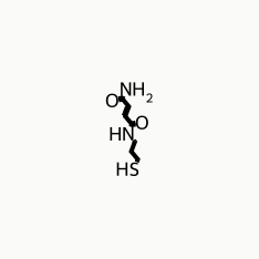 NC(=O)/C=C/C(=O)NCCCS